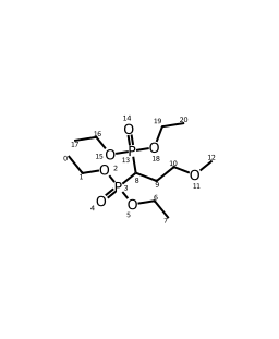 CCOP(=O)(OCC)C(CCOC)P(=O)(OCC)OCC